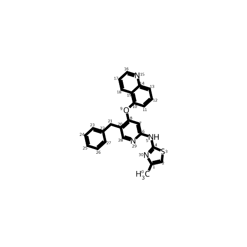 Cc1csc(Nc2cc(Oc3cccc4ncccc34)c(Cc3ccccc3)cn2)n1